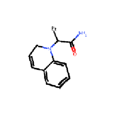 CCC(C(N)=O)N1CC=Cc2ccccc21